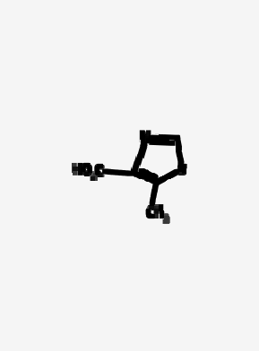 Cc1scnc1C(=O)O